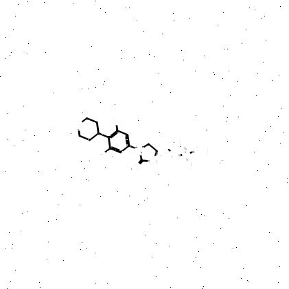 CS(=O)(=O)OC[C@H]1CN(c2cc(F)c(C3CCSCC3)c(F)c2)C(=O)O1